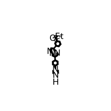 CC[S+]([O-])c1cccc(-c2cnn3cc(-c4ccc(N5CCNCC5)cc4)cnc23)c1